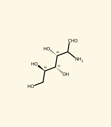 NC(C=O)[C@@H](O)[C@H](O)[C@H](O)CO